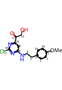 COc1ccc(CCNc2cc(C(=O)CO)nc(Cl)n2)cc1